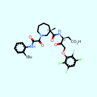 CC(C)(C)c1ccccc1NC(=O)C(=O)N1CCCC[C@](C)(C(=O)N[C@@H](CC(=O)O)C(=O)COc2c(F)c(F)cc(F)c2F)C1